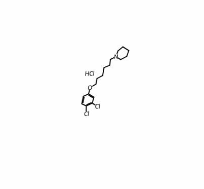 Cl.Clc1ccc(OCCCCCCN2CCCCC2)cc1Cl